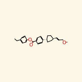 CCc1ccc(OC(=O)c2ccc([C@H]3CC[C@H](C=CCOC)CC3)cc2)cc1